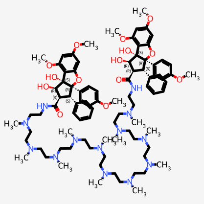 COc1ccc([C@@]23Oc4cc(OC)cc(OC)c4[C@]2(O)[C@H](O)[C@H](C(=O)NCCN(C)CCN(C)CCN(C)CCN(C)CCN(C)CCN(C)CCN(C)CCN(C)CCN(C)CCN(C)CCN(C)CCNC(=O)[C@H]2[C@@H](O)[C@@]4(O)c5c(OC)cc(OC)cc5O[C@@]4(c4ccc(OC)cc4)[C@@H]2c2ccccc2)[C@H]3c2ccccc2)cc1